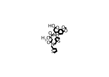 CN(CC(=O)N(Cc1cccs1)Cc1cccs1)C(=O)NC(CC(=O)O)c1ccc2c(c1)OCO2